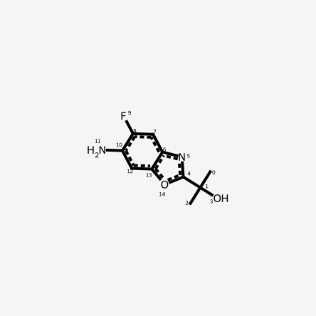 CC(C)(O)c1nc2cc(F)c(N)cc2o1